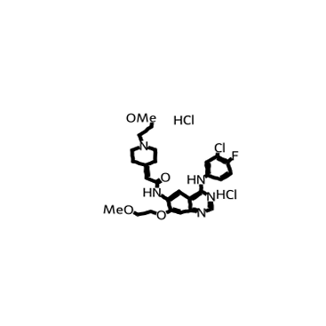 COCCOc1cc2ncnc(Nc3ccc(F)c(Cl)c3)c2cc1NC(=O)C=C1CCN(CCOC)CC1.Cl.Cl